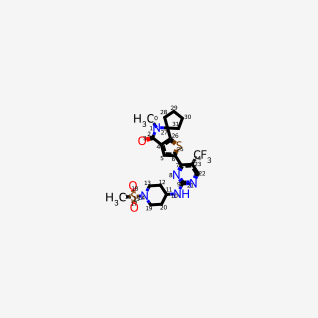 CN1C(=O)c2cc(-c3nc(NC4CCN(S(C)(=O)=O)CC4)ncc3C(F)(F)F)sc2C12CCCC2